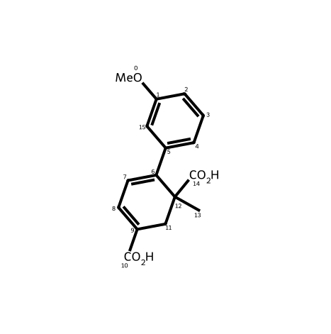 COc1cccc(C2=CC=C(C(=O)O)CC2(C)C(=O)O)c1